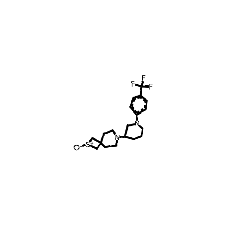 [O-][S+]1CC2(CCN(C3CCCN(c4ccc(C(F)(F)F)cc4)C3)CC2)C1